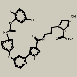 COC(=O)[C@@H]1C[C@@H](O)CN1CCCNC(=O)c1c[nH]c(-c2cc(Oc3ccc(NC(=O)Nc4cc(C)ccc4F)cc3)ccn2)c1